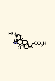 C/C=C1/C(=O)[C@H]2C3CC[C@H]([C@H](C)CC(=O)O)[C@@]3(C)CCC2[C@@]2(C)CC[C@@H](O)C[C@@H]12